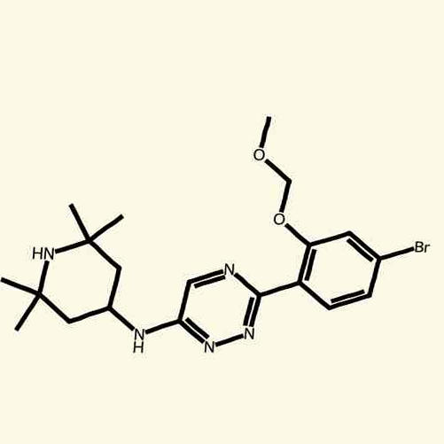 COCOc1cc(Br)ccc1-c1ncc(NC2CC(C)(C)NC(C)(C)C2)nn1